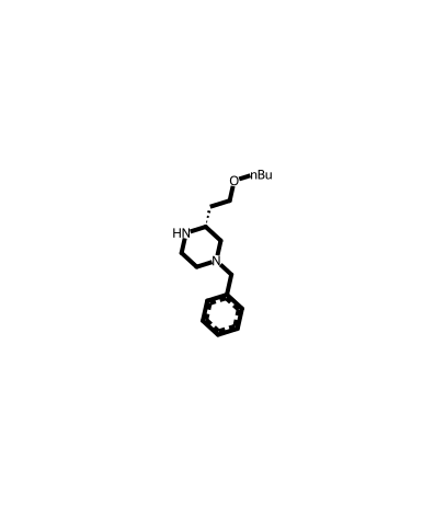 CCCCOCC[C@@H]1CN(Cc2ccccc2)CCN1